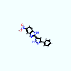 O=[N+]([O-])c1ccc2[nH]c(-c3cc(-c4ccccc4)n[nH]3)nc2c1